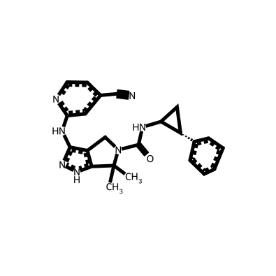 CC1(C)c2[nH]nc(Nc3cc(C#N)ccn3)c2CN1C(=O)NC1C[C@@H]1c1ccccc1